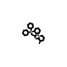 Cc1cccn2nc(C[PH](c3ccccc3)(c3ccccc3)c3ccccc3)nc12